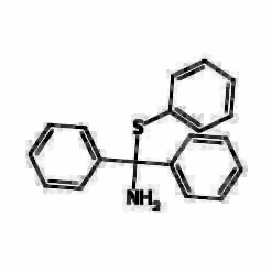 NC(Sc1ccccc1)(c1ccccc1)c1ccccc1